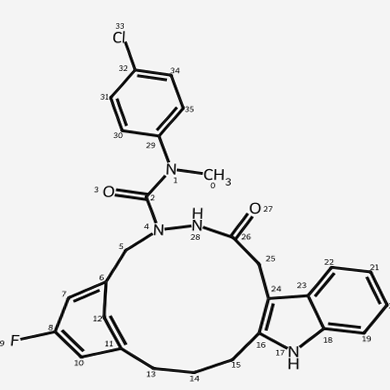 CN(C(=O)N1Cc2cc(F)cc(c2)CCCc2[nH]c3ccccc3c2CC(=O)N1)c1ccc(Cl)cc1